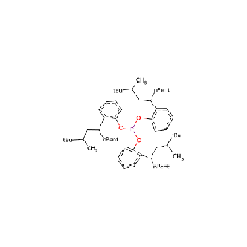 CCCCCC(CC(C)C(C)(C)C)c1ccccc1OP(Oc1ccccc1C(CCCCC)CC(C)C(C)(C)C)Oc1ccccc1C(CCCCC)CC(C)C(C)(C)C